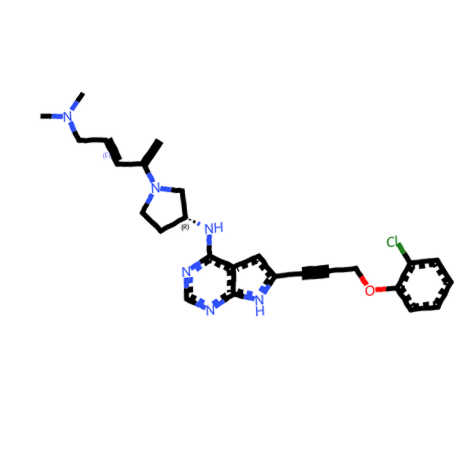 C=C(/C=C/CN(C)C)N1CC[C@@H](Nc2ncnc3[nH]c(C#CCOc4ccccc4Cl)cc23)C1